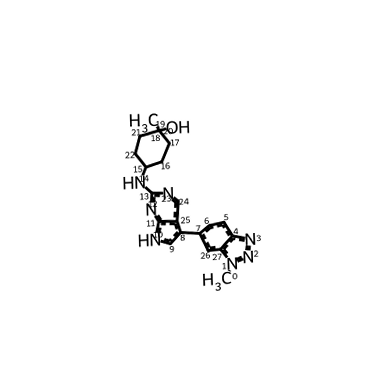 Cn1nnc2ccc(-c3c[nH]c4nc(NC5CCC(C)(O)CC5)ncc34)cc21